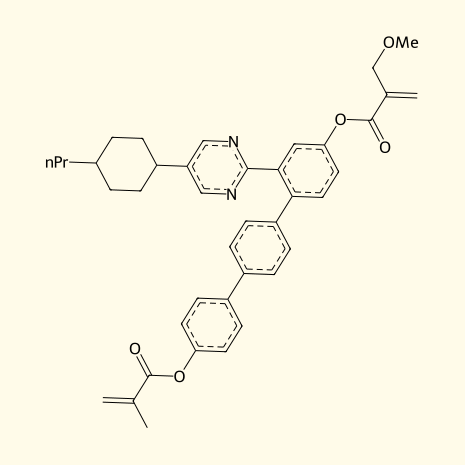 C=C(C)C(=O)Oc1ccc(-c2ccc(-c3ccc(OC(=O)C(=C)COC)cc3-c3ncc(C4CCC(CCC)CC4)cn3)cc2)cc1